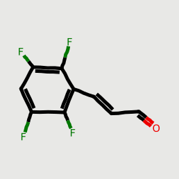 O=CC=Cc1c(F)c(F)cc(F)c1F